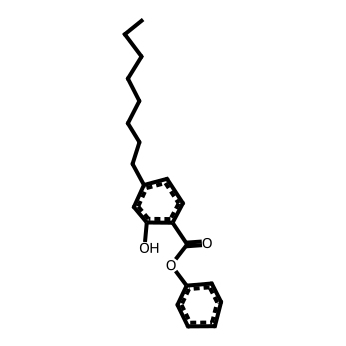 CCCCCCCCc1ccc(C(=O)Oc2ccccc2)c(O)c1